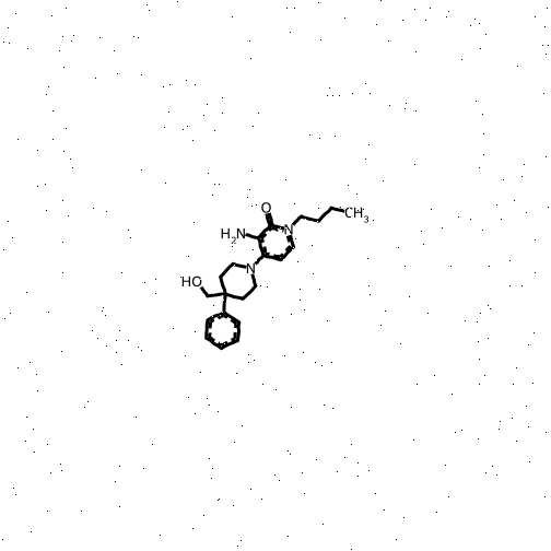 CCCCn1ccc(N2CCC(CO)(c3ccccc3)CC2)c(N)c1=O